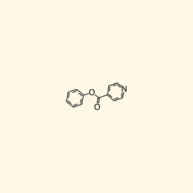 O=C(Oc1ccccc1)c1ccncc1